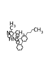 CCCCc1ccc(-c2ccccc2)c(S(=O)(=O)Nc2onc(C)c2C)c1